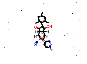 Cc1cc(C)c(C2=C(O)[C@@H]3[C@@H]4O[C@@H]([C@@H](C#N)[C@H]4c4ccc(F)nc4)[C@@H]3C2=O)c(C)c1